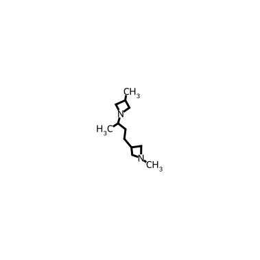 CC1CN(C(C)CCC2CN(C)C2)C1